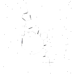 CC(C)(C)OC(=O)N[C@H]1CCCCC/C=C\[C@@H]2C[C@@]2(C(=O)Nc2ccc(F)cc2)NC(=O)[C@@H]2CCCN2C1=O